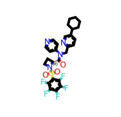 O=C([C@H]1CCN1S(=O)(=O)c1c(F)c(F)c(F)c(F)c1F)N(Cc1ccc(C2CCCCC2)cn1)c1ccncc1